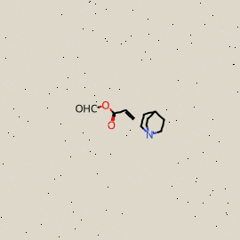 C1CN2CCC1CC2.C=CC(=O)OC=O